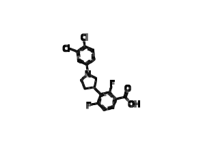 O=C(O)c1ccc(F)c(C2CCN(c3ccc(Cl)c(Cl)c3)C2)c1F